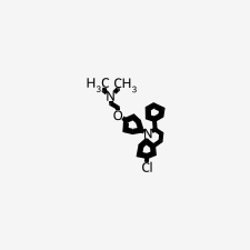 CCN(CC)CCOc1ccc(N2c3ccc(Cl)cc3CCC2c2ccccc2)cc1